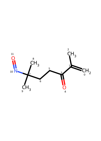 C=C(C)C(=O)CCC(C)(C)N=O